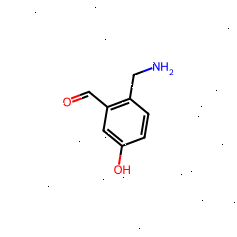 NCc1ccc(O)cc1C=O